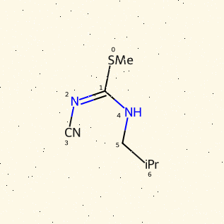 CSC(=NC#N)NCC(C)C